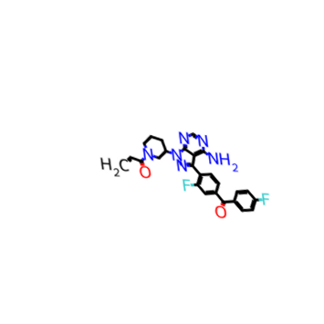 C=CC(=O)N1CCCC(n2nc(-c3ccc(C(=O)c4ccc(F)cc4)cc3F)c3c(N)ncnc32)C1